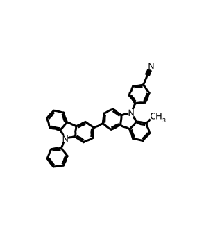 Cc1cccc2c3cc(-c4ccc5c(c4)c4ccccc4n5-c4ccccc4)ccc3n(-c3ccc(C#N)cc3)c12